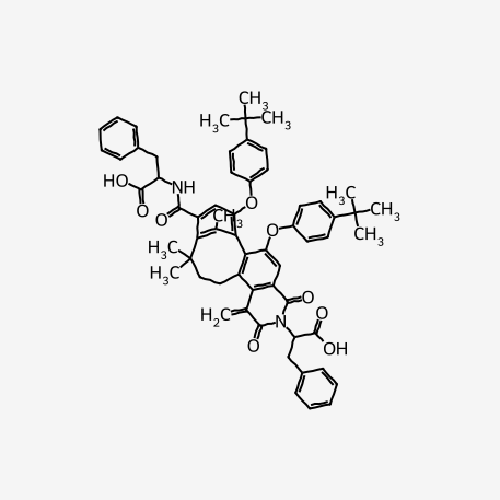 C=C1C(=O)N(C(Cc2ccccc2)C(=O)O)C(=O)c2cc(Oc3ccc(C(C)(C)C)cc3)c3c(c21)CCC(C)(C)c1c(C(=O)NC(Cc2ccccc2)C(=O)O)cc(Oc2ccc(C(C)(C)C)cc2)c-3c1C